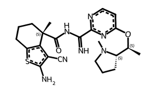 C[C@H](Oc1ccnc(C(=N)NC(=O)[C@@]2(C)CCCc3sc(N)c(C#N)c32)n1)[C@@H]1CCCN1C